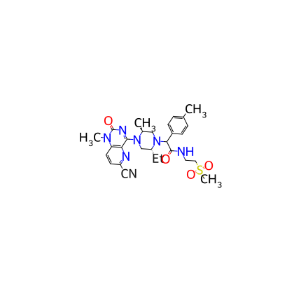 CC[C@@H]1CN(c2nc(=O)n(C)c3ccc(C#N)nc23)[C@@H](C)CN1C(C(=O)NCCS(C)(=O)=O)c1ccc(C)cc1